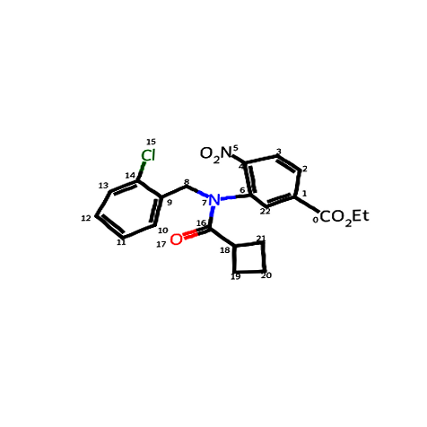 CCOC(=O)c1ccc([N+](=O)[O-])c(N(Cc2ccccc2Cl)C(=O)C2CCC2)c1